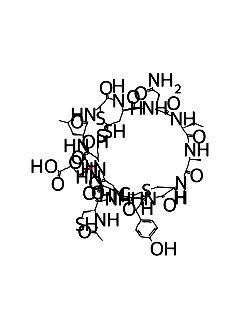 CC(=O)N[C@@H](CS)C(=O)N[C@H]1CCSC[C@@H]2NC(=O)[C@H](C)NC(=O)[C@H](C(C)C)NC(=O)[C@H](CC(N)=O)NC(=O)[C@@H]3CC(S)(SC[C@@H](C(=O)O)NC(=O)CNC(=O)[C@H](Cc4ccc(O)cc4)NC2=O)SC(NC(=O)[C@H](CC(C)C)NC(=O)[C@H](CCC(=O)O)NC1=O)C(=O)N3